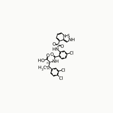 C[C@H](c1ccc(Cl)c(Cl)c1)[C@H](NC(=O)c1ccc(Cl)cc1NS(=O)(=O)C1=CC=CN2SNC=C12)C(=O)O